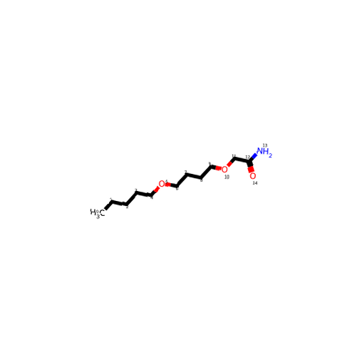 CCCCCOCCCCOCC(N)=O